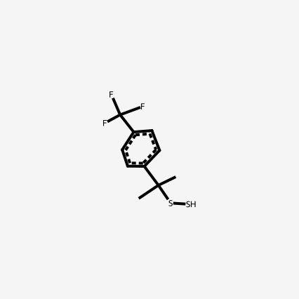 CC(C)(SS)c1ccc(C(F)(F)F)cc1